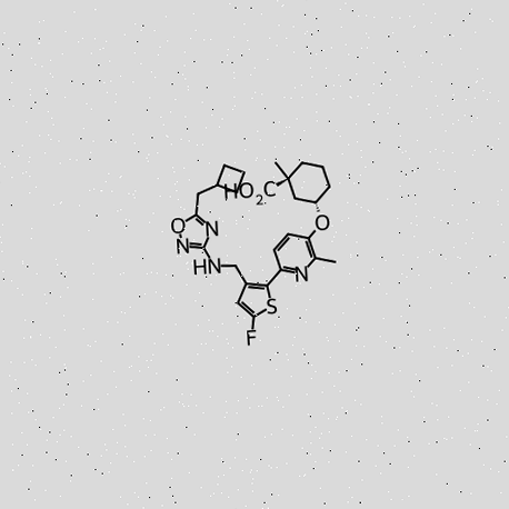 Cc1nc(-c2sc(F)cc2CNc2noc(CC3CCC3)n2)ccc1O[C@H]1CCC[C@](C)(C(=O)O)C1